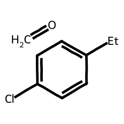 C=O.CCc1ccc(Cl)cc1